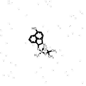 CC(C)(C)O[Si](C)(C)OC1Cc2ccc(O)c3cccc1c23